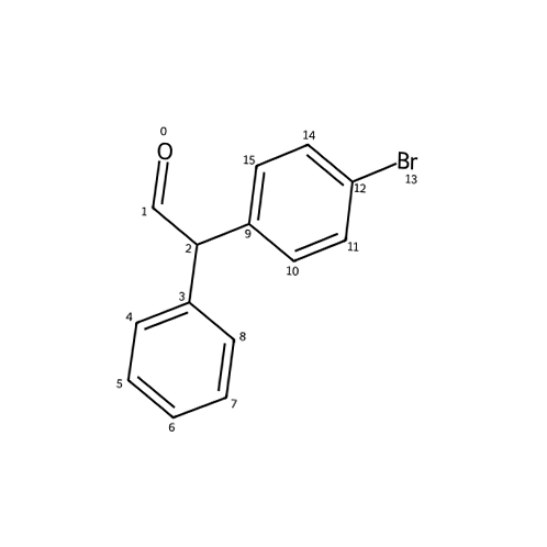 O=CC(c1ccccc1)c1ccc(Br)cc1